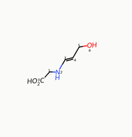 O=C(O)CNC=CCO